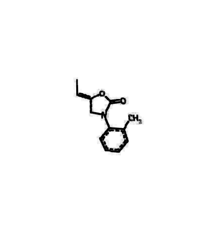 Cc1ccccc1N1CC(=CI)OC1=O